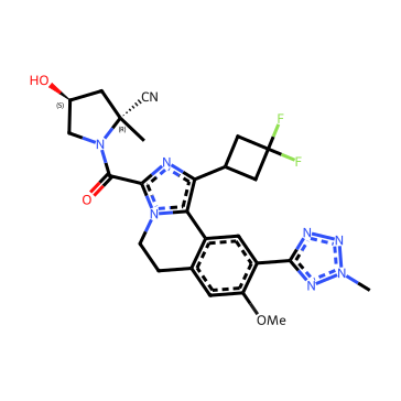 COc1cc2c(cc1-c1nnn(C)n1)-c1c(C3CC(F)(F)C3)nc(C(=O)N3C[C@@H](O)C[C@]3(C)C#N)n1CC2